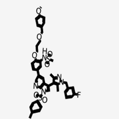 COc1ccc(COCCCOc2ccc(-c3cnc4c(c3)c(-c3c(C)nn(Cc5cccc(F)c5)c3C)cn4S(=O)(=O)c3ccc(C)cc3)cc2NS(C)(=O)=O)cc1